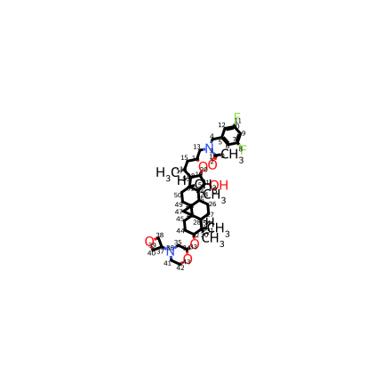 CC(=O)N(Cc1cc(F)cc(F)c1)CC1C[C@@H](C)[C@H]2C(O1)[C@H](O)[C@@]1(C)C3CC[C@H]4C(C)(C)C(OC5CN(C6COC6)CCO5)CCC45CC35CCC21C